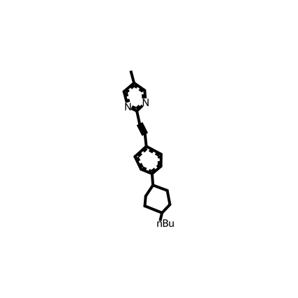 CCCCC1CCC(c2ccc(C#Cc3ncc(C)cn3)cc2)CC1